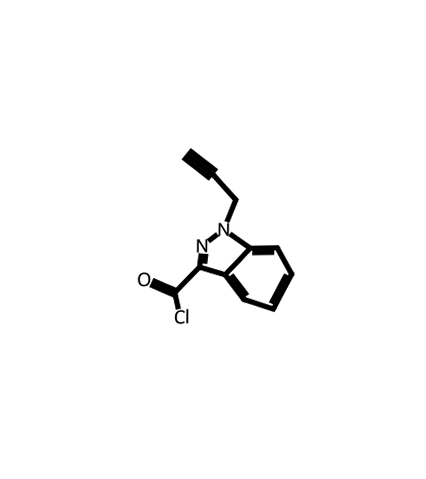 C#CCn1nc(C(=O)Cl)c2ccccc21